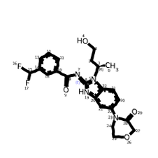 C[C@H](CCO)n1/c(=N/C(=O)c2cccc(C(F)F)c2)[nH]c2cc(N3CCOCC3=O)ccc21